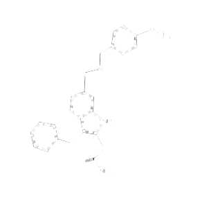 COc1ccc(CNCc2ccc3c(Sc4ccccc4)c(OC(N)=O)[nH]c3c2)cc1